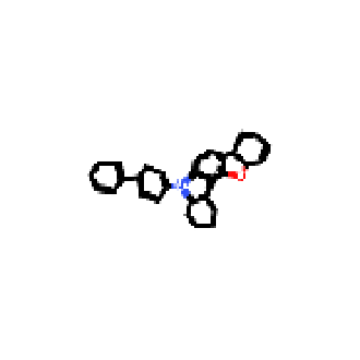 C1=CC2Oc3c(ccc4c3c3c(n4C4=CCC(C5=CCCC=C5)C=C4)CCCC3)C2C=C1